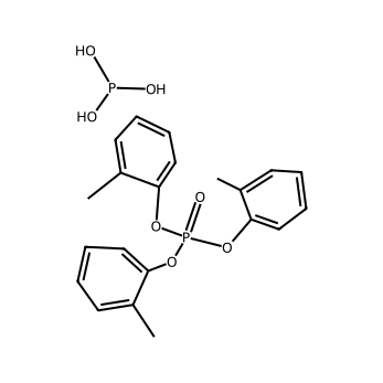 Cc1ccccc1OP(=O)(Oc1ccccc1C)Oc1ccccc1C.OP(O)O